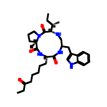 CCC(=O)CCCCC[C@@H]1NC(=O)[C@H]2CCCN2C(=O)[C@H]([C@@H](C)CC)NCC(Cc2c[nH]c3ccccc23)NC1=O